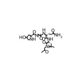 CC(=O)CNC(=O)[C@@H](CC(C)C)NC(=O)[C@@H](CCC(N)=O)NC(=O)CNC(=O)[C@@H]1C[C@@H](O)CN1